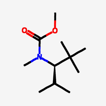 COC(=O)N(C)[C@H](C(C)C)C(C)(C)C